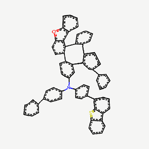 c1ccc(-c2ccc(N(c3ccc(-c4cccc5c4sc4ccccc45)cc3)c3ccc4c(c3)-c3cc(-c5ccccc5)ccc3-c3ccccc3-c3c-4ccc4oc5ccccc5c34)cc2)cc1